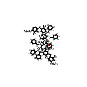 COc1ccc(Cc2cc([C@]3(OC)OC(CO)(C(O)C(O)[C@@]45CO[C@@](c6ccc(Cl)c(Cc7ccc(OC)c(F)c7F)c6)(O4)[C@@H](OCc4ccccc4)[C@@H](OCc4ccccc4)[C@@H]5OCc4ccccc4)[C@H](OCc4ccccc4)[C@H](OCc4ccccc4)[C@H]3OCc3ccccc3)ccc2Cl)c(F)c1F